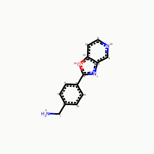 NCc1ccc(-c2nc3cnccc3o2)cc1